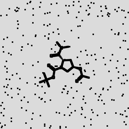 CC(=O)O[C@@H]1C[C@@H](C(=O)N(C)C)N(C(=O)OC(C)(C)C)C1